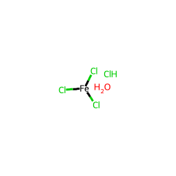 Cl.O.[Cl][Fe]([Cl])[Cl]